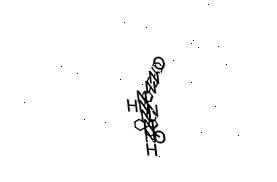 O=C1NCC2(CCCCC2)n2c1cc1cnc(Nc3ccc(N4CCN(C5CCOCC5)CC4)cn3)nc12